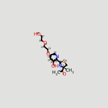 CC(=O)[C@@]1(C)CSC(c2ncc(OCCOCCO)cc2O)=N1